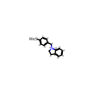 CSc1ccc(CN2CCc3ccccc32)cc1